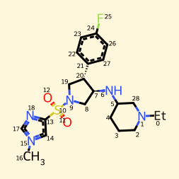 CCN1CCCC(N[C@H]2CN(S(=O)(=O)c3cn(C)cn3)C[C@@H]2c2ccc(F)cc2)C1